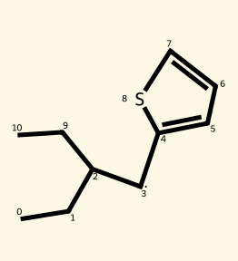 CCC([CH]c1cccs1)CC